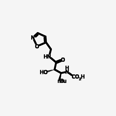 CCCC[C@H](NC(=O)O)[C@H](O)C(=O)NCc1ccno1